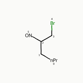 CCCCC(CBr)N=O